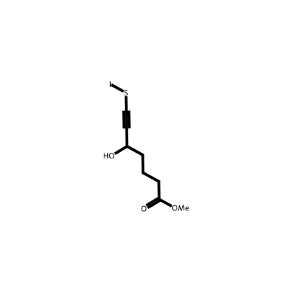 COC(=O)CCCC(O)C#CSI